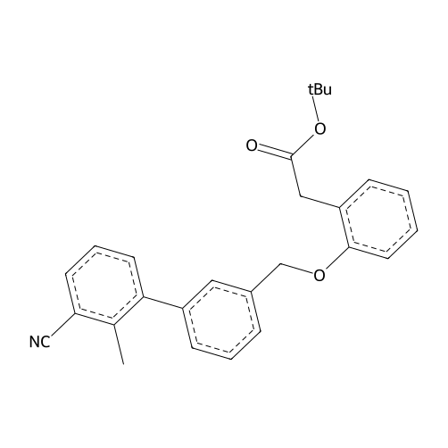 Cc1c(C#N)cccc1-c1cccc(COc2ccccc2CC(=O)OC(C)(C)C)c1